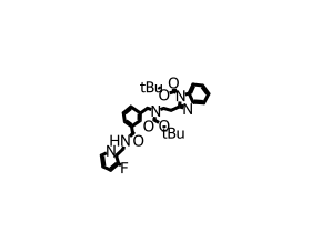 CC(C)(C)OC(=O)N(CCc1nc2ccccc2n1C(=O)OC(C)(C)C)Cc1cccc(C(=O)NCc2ncccc2F)c1